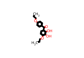 C=CCOc1ccc(C(=O)c2ccc(OCC=C)c(O)c2O)cc1